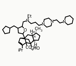 CCN(CCCN1CCN(CCN2CCCCC2)CC1)CC1OC(C23C[C@@H]4[C@H](C)CC[C@H]4C4(C=O)CC2C=C(C(C)C)C34C(=O)O)CC1CC1CCCC1